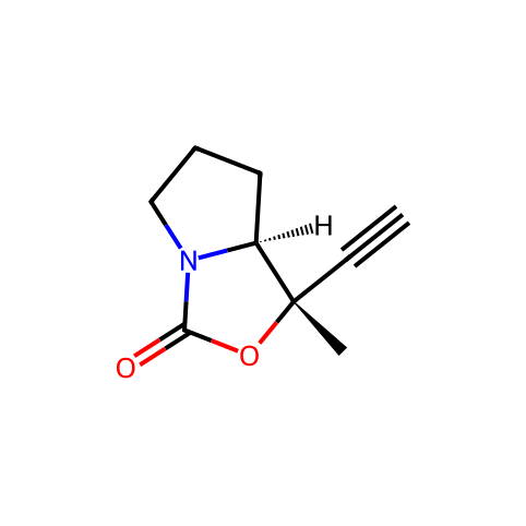 C#C[C@]1(C)OC(=O)N2CCC[C@H]21